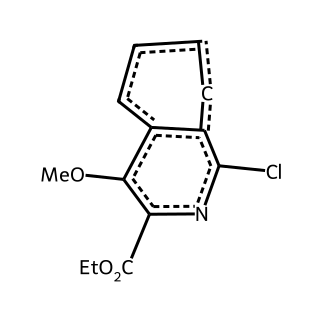 CCOC(=O)c1nc(Cl)c2ccccc2c1OC